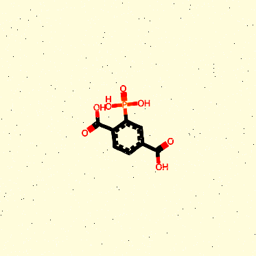 O=C(O)c1ccc(C(=O)O)c(P(=O)(O)O)c1